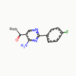 CNC(=O)c1cnc(-c2ccc(F)cc2)nc1N